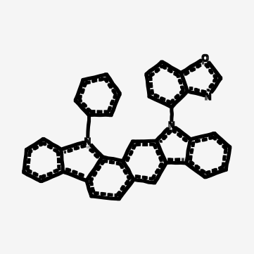 c1ccc(-n2c3ccccc3c3ccc4cc5c6ccccc6n(-c6cccc7ocnc67)c5cc4c32)cc1